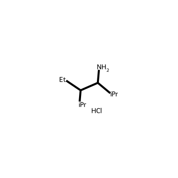 CCC(C(C)C)C(N)C(C)C.Cl